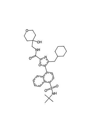 CC(C)(C)NS(=O)(=O)c1ccc(-c2oc(C(=O)NCC3(O)CCOCC3)nc2CC2CCCCC2)c2ccccc12